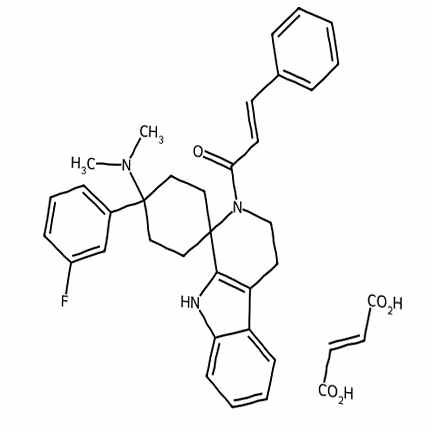 CN(C)C1(c2cccc(F)c2)CCC2(CC1)c1[nH]c3ccccc3c1CCN2C(=O)/C=C/c1ccccc1.O=C(O)/C=C/C(=O)O